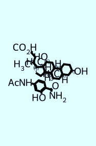 CC(=O)Nc1ccc(C(N)=O)c(O)c1.C[C@H](CCC(=O)O)[C@H]1CC[C@H]2[C@@H]3CC[C@@H]4C[C@H](O)CC[C@]4(C)[C@H]3C[C@H](O)[C@]12C